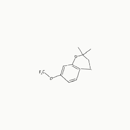 CC1(C)C[C]c2ccc(OC(F)(F)F)cc2O1